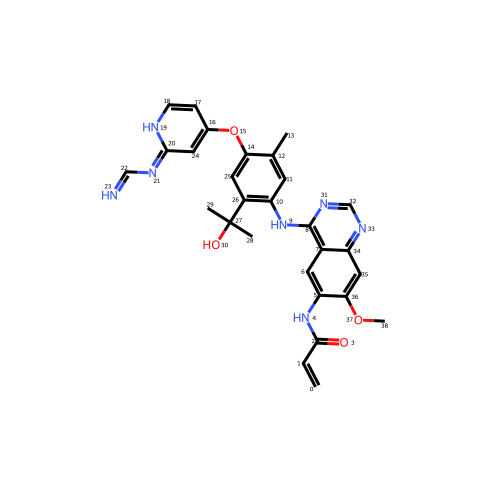 C=CC(=O)Nc1cc2c(Nc3cc(C)c(Oc4cc[nH]/c(=N\C=N)c4)cc3C(C)(C)O)ncnc2cc1OC